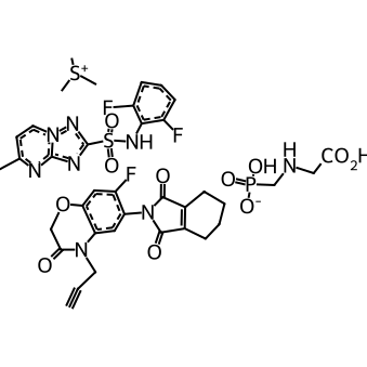 C#CCN1C(=O)COc2cc(F)c(N3C(=O)C4=C(CCCC4)C3=O)cc21.C[S+](C)C.Cc1ccn2nc(S(=O)(=O)Nc3c(F)cccc3F)nc2n1.O=C(O)CNCP(=O)([O-])O